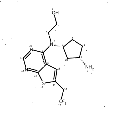 N[C@H]1CC[C@@H](N(CCO)c2ncnc3sc(CC(F)(F)F)cc23)C1